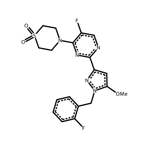 COc1cc(-c2ncc(F)c(N3CCS(=O)(=O)CC3)n2)nn1Cc1ccccc1F